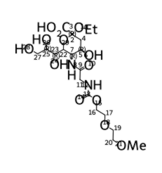 CCO[C@]1(C(=O)O)C[C@@H](O)[C@@H](NC(=O)CNC(=O)OCCOCCOC)C([C@H](O)[C@H](O)CO)O1